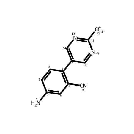 N#Cc1cc(N)ccc1-c1cnc(C(F)(F)F)nc1